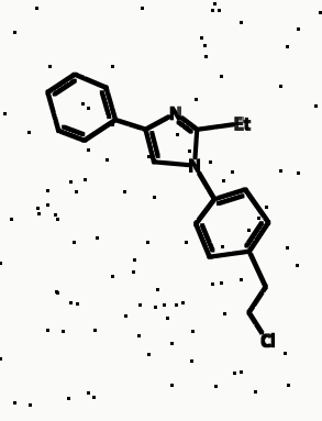 CCc1nc(-c2ccccc2)cn1-c1ccc(CCCl)cc1